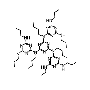 CCCCN(c1nc(NCCC)nc(NCCC)n1)c1nc(N(CCCC)c2nc(NCCC)nc(NCCC)n2)nc(N(CCCC)c2nc(NCCC)nc(NCCC)n2)n1